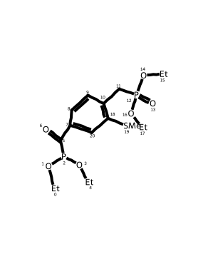 CCOP(OCC)C(=O)c1ccc(CP(=O)(OCC)OCC)c(SC)c1